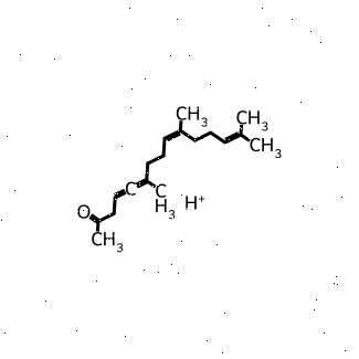 CC(=O)CC=C=C(C)CCC=C(C)CCC=C(C)C.[H+]